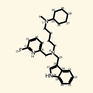 CN(CCCCN(Cc1cccc(F)n1)Cc1c[nH]c2ccccc12)C1CCCCC1